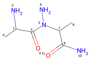 CC(N)C(=O)N(N)C(C)C(N)=O